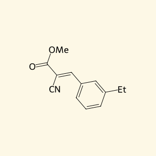 CCc1cccc(/C=C(\C#N)C(=O)OC)c1